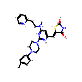 Cc1ccc(N2CCN(c3nc(/C=C4\SC(=O)NC4=O)cc(N(C)CCc4ccccn4)n3)CC2)cc1